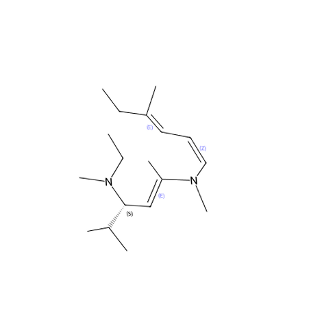 CC/C(C)=C/C=C\N(C)/C(C)=C/[C@H](C(C)C)N(C)CC